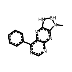 CN1BNc2nc3c(-c4ccccc4)ncnc3nc21